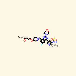 COC(=O)CCCOC1CCN(Cc2cc(F)cc3c(-c4cnc(OC)c(NS(C)(=O)=O)c4)nc(N4CCOCC4)nc23)CC1